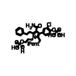 CCCC(C)Cc1c(-c2ccc(OP(=O)(O)O)c(Cl)c2)c(C(N)=O)c(CCc2ccccc2)n1CCCOP(=O)(O)O